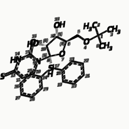 CC(C)(C)OC[C@H]1O[C@](n2ccc(=S)[nH]c2=O)([SiH](c2ccccc2)c2ccccc2)[C@H](O)[C@@H]1O